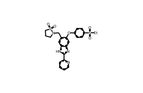 CCS(=O)(=O)c1ccc(Oc2cc3nc(-c4ccccn4)[nH]c3cc2CN2CCCS2(=O)=O)cc1